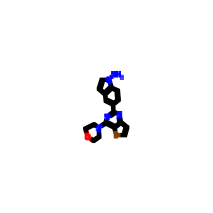 Nn1ccc2cc(-c3nc(N4CCOCC4)c4sccc4n3)ccc21